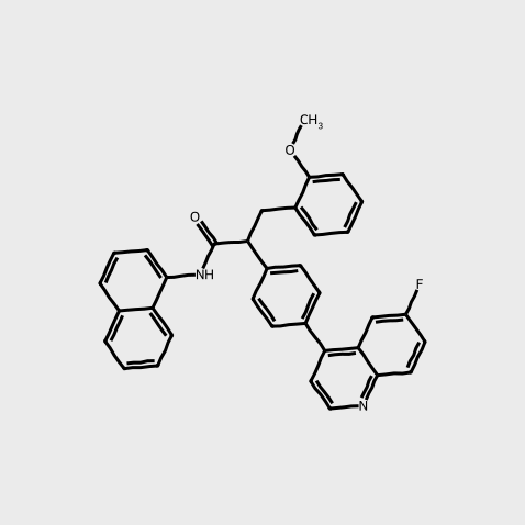 COc1ccccc1CC(C(=O)Nc1cccc2ccccc12)c1ccc(-c2ccnc3ccc(F)cc23)cc1